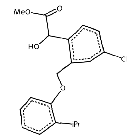 COC(=O)C(O)c1ccc(Cl)cc1COc1ccccc1C(C)C